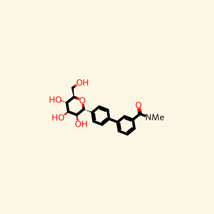 CNC(=O)c1cccc(-c2ccc([C@H]3O[C@H](CO)[C@@H](O)[C@H](O)[C@@H]3O)cc2)c1